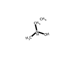 C.C[SiH](C)O